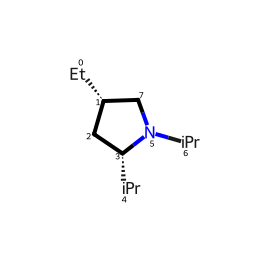 CC[C@H]1C[C@@H](C(C)C)N(C(C)C)C1